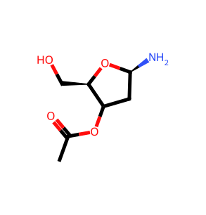 CC(=O)OC1C[C@H](N)O[C@@H]1CO